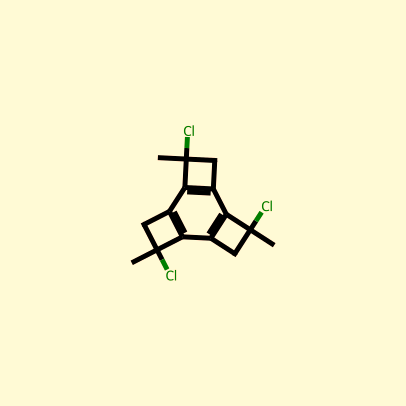 CC1(Cl)Cc2c1c1c(c3c2C(C)(Cl)C3)C(C)(Cl)C1